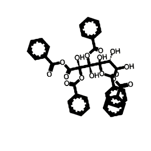 O=C(OC(=O)[C@@](O)(OC(=O)c1ccccc1)[C@](O)(OC(=O)c1ccccc1)[C@@](O)(OC(=O)c1ccccc1)[C@H](O)C(O)OC(=O)c1ccccc1)c1ccccc1